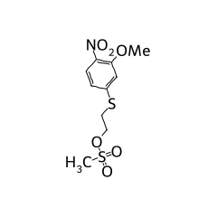 COc1cc(SCCOS(C)(=O)=O)ccc1[N+](=O)[O-]